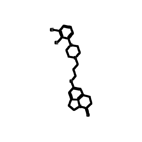 O=C1CCc2cc(OCCCN3CCN(c4cccc(Cl)c4Cl)CC3)cc3c2N1CC3